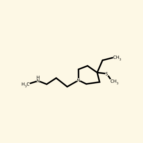 CCC1(SC)CCN(CCCNC)CC1